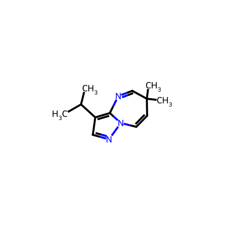 CC(C)c1cnn2c1N=CC(C)(C)C=C2